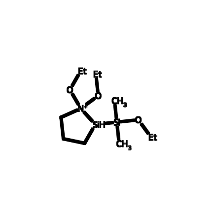 CCO[N+]1(OCC)CCC[SiH]1[Si](C)(C)OCC